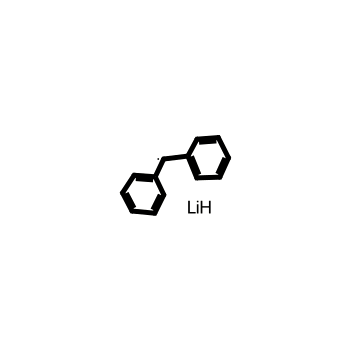 [CH](c1ccccc1)c1ccccc1.[LiH]